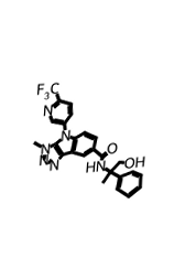 Cn1nnc2c3cc(C(=O)NC(C)(CO)c4ccccc4)ccc3n(-c3ccc(C(F)(F)F)nc3)c21